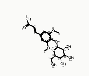 COc1cc(C=CC(=O)O)cc(OC)c1O[C@@H]1O[C@H](CO)[C@@H](O)[C@H](O)[C@H]1O